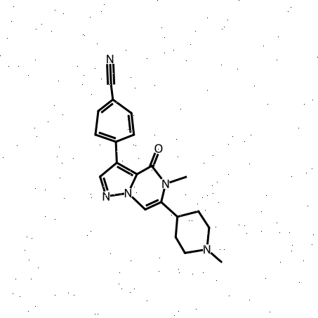 CN1CCC(c2cn3ncc(-c4ccc(C#N)cc4)c3c(=O)n2C)CC1